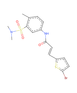 Cc1ccc(NC(=O)/C=C/c2ccc(Br)s2)cc1S(=O)(=O)N(C)C